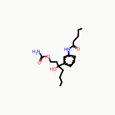 CCCCC(=O)Nc1cccc(C(O)(CCCC)CCOC(N)=O)c1